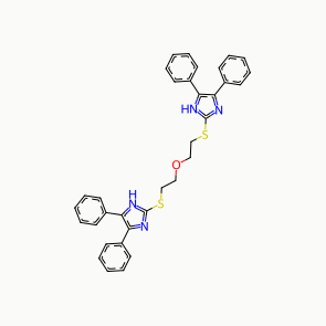 c1ccc(-c2nc(SCCOCCSc3nc(-c4ccccc4)c(-c4ccccc4)[nH]3)[nH]c2-c2ccccc2)cc1